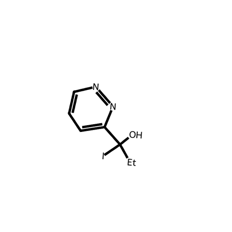 CCC(O)(I)c1cccnn1